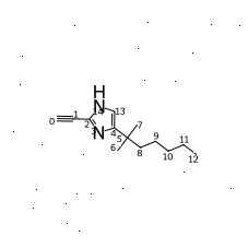 C#Cc1nc(C(C)(C)CCCCC)c[nH]1